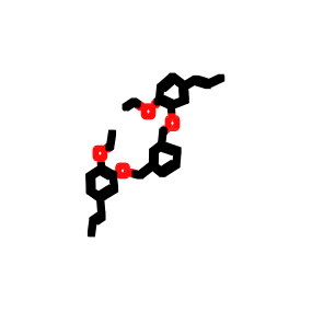 CC=Cc1ccc(OCC)c(OCc2cccc(COc3cc(C=CC)ccc3OCC)c2)c1